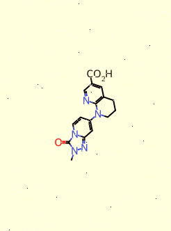 Cn1nc2cc(N3CCCc4cc(C(=O)O)cnc43)ccn2c1=O